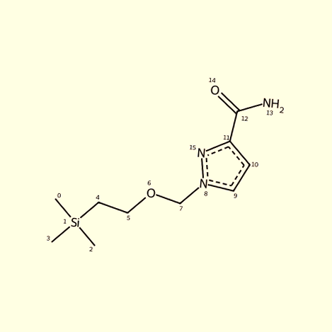 C[Si](C)(C)CCOCn1ccc(C(N)=O)n1